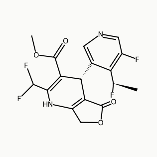 COC(=O)C1=C(C(F)F)NC2=C(C(=O)OC2)[C@H]1c1cncc(F)c1[C@@H](C)F